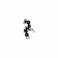 COC(=O)c1cccc(N2CCC(C(N)C(=O)c3sc(-c4ccc(Cl)cc4)nc3C)C2)c1